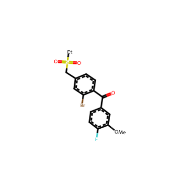 CCS(=O)(=O)Cc1ccc(C(=O)c2ccc(F)c(OC)c2)c(Br)c1